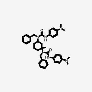 CN(C)c1ccc(NC(=O)N(Cc2ccccc2)C2CCCC(C)(N(Cc3ccccc3)C(=O)Nc3ccc(N(C)C)cc3)C2)cc1